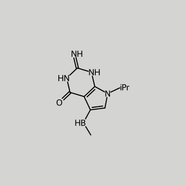 CBc1cn(C(C)C)c2[nH]c(=N)[nH]c(=O)c12